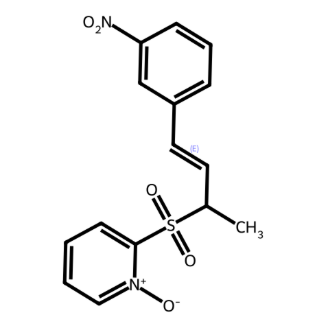 CC(/C=C/c1cccc([N+](=O)[O-])c1)S(=O)(=O)c1cccc[n+]1[O-]